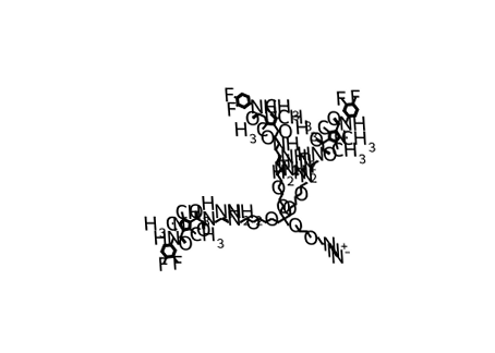 Cc1c(C(=O)C(=O)NC/C(N)=C/N(N)CCOCCOCC(COCCOCCN=[N+]=[N-])(COCCOCCN(N)/C=C(\N)CNC(=O)C(=O)c2c(C)c(C(=O)Nc3ccc(F)c(F)c3)n(C)c2C)COCCOCCN(N)/C=C(\N)CNC(=O)C(=O)c2c(C)c(C(=O)Nc3ccc(F)c(F)c3)n(C)c2C)c(C)n(C)c1C(=O)Nc1ccc(F)c(F)c1